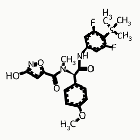 COc1ccc([C@H](C(=O)Nc2cc(F)c(S(C)(C)C)c(F)c2)N(C)C(=O)c2cc(O)no2)cc1